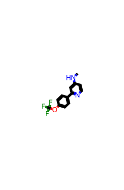 CNc1ccnc(-c2ccc(OC(F)(F)F)cc2)c1